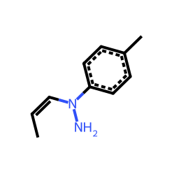 C/C=C\N(N)c1ccc(C)cc1